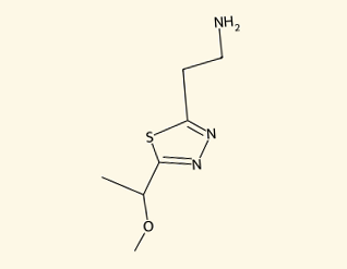 COC(C)c1nnc(CCN)s1